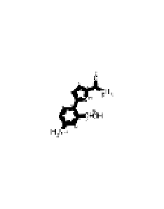 CC(=O)c1ccc(-c2ccc(N)cc2O)s1.Cl